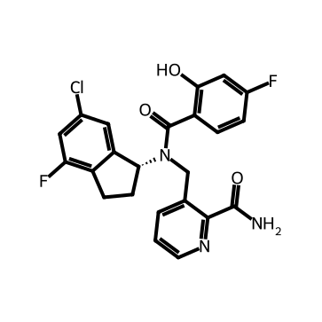 NC(=O)c1ncccc1CN(C(=O)c1ccc(F)cc1O)[C@@H]1CCc2c(F)cc(Cl)cc21